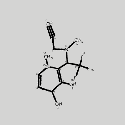 C#CCN(C)C(C1=C(O)C(O)C=CN1C)C(F)(F)F